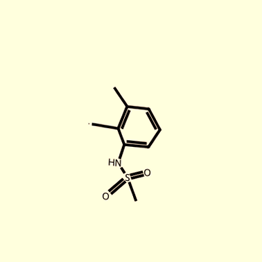 [CH2]c1c(C)cccc1NS(C)(=O)=O